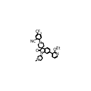 CCOc1ncccc1-c1ccc2c(c1)N([C@@H]1CCN(C)C1)C(=O)C21CCN(c2ccc(C(F)(F)F)cc2C#N)CC1